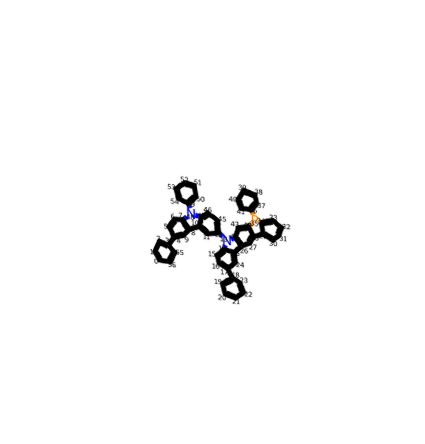 c1ccc(-c2ccc3c(c2)c2cc(-n4c5ccc(-c6ccccc6)cc5c5cc6c7ccccc7p(-c7ccccc7)c6cc54)ccc2n3-c2ccccc2)cc1